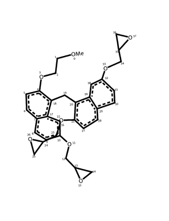 COCCOc1ccc2ccc(OCC3CO3)cc2c1Cc1c(OCC2CO2)ccc2ccc(OCC3CO3)cc12